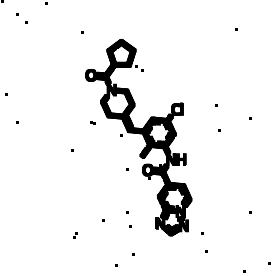 Cc1c(C=C2CCN(C(=O)C3CCCC3)CC2)cc(Cl)cc1NC(=O)c1ccn2ncnc2c1